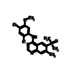 COc1cc(Nc2ncnc3cc(C)c(P(C)(C)=O)cc23)c(Cl)cc1Cl